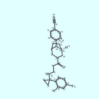 C[C@H]1CC2CN(C(=O)CCNC3(c4ccc(F)cc4F)CC3)C[C@H]1N2c1ccc(C#N)cn1